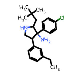 CCc1cccc(C2CNC(CC(C)(C)C)[C@]2(N)c2ccc(Cl)cc2)c1